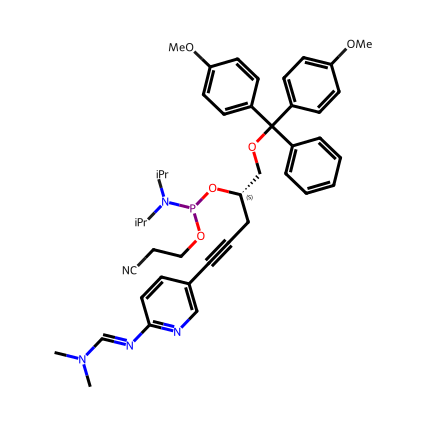 COc1ccc(C(OC[C@H](CC#Cc2ccc(N=CN(C)C)nc2)OP(OCCC#N)N(C(C)C)C(C)C)(c2ccccc2)c2ccc(OC)cc2)cc1